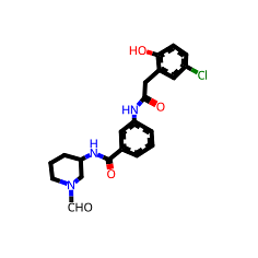 O=CN1CCCC(NC(=O)c2cccc(NC(=O)Cc3cc(Cl)ccc3O)c2)C1